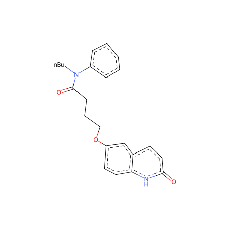 CCCCN(C(=O)CCCOc1ccc2[nH]c(=O)ccc2c1)c1ccccc1